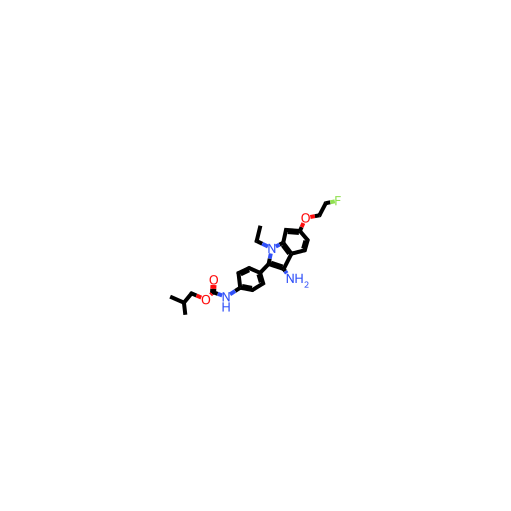 CCn1c(-c2ccc(NC(=O)OCC(C)C)cc2)c(N)c2ccc(OCCF)cc21